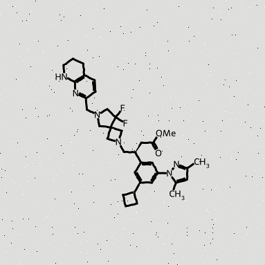 COC(=O)C[C@H](CN1CC2(CN(Cc3ccc4c(n3)NCCC4)CC2(F)F)C1)c1cc(C2CCC2)cc(-n2nc(C)cc2C)c1